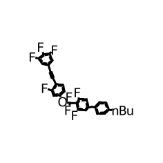 CCCCc1ccc(-c2cc(F)c(C(F)(F)Oc3ccc(C#Cc4cc(F)c(F)c(F)c4)c(F)c3)c(F)c2)cc1